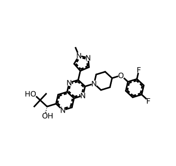 Cn1cc(-c2nc3cc([C@H](O)C(C)(C)O)ncc3nc2N2CCC(Oc3ccc(F)cc3F)CC2)cn1